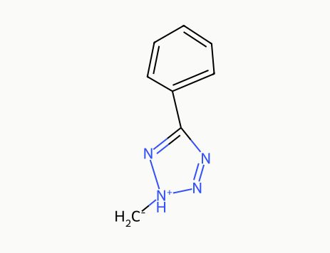 [CH2-][NH+]1N=NC(c2ccccc2)=N1